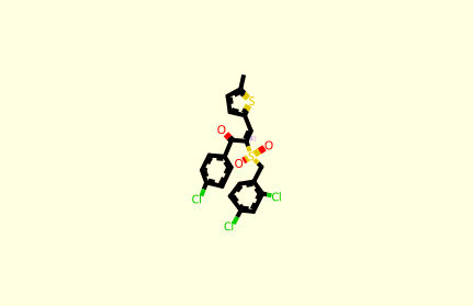 Cc1ccc(/C=C(\C(=O)c2ccc(Cl)cc2)S(=O)(=O)Cc2ccc(Cl)cc2Cl)s1